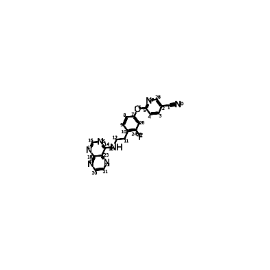 N#Cc1ccc(Oc2ccc(CCNc3ncnc4nccnc34)c(F)c2)nc1